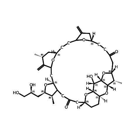 C=C1C[C@@H]2CCC(=O)C[C@H]3O[C@H]4[C@@H](O)[C@H]5O[C@H](CC[C@@H]5O[C@H]4[C@H]3C)CC(=O)CC3[C@H](CC4O[C@@H](CCC1O2)C[C@@H](C)C4=C)O[C@H](C[C@H](O)CO)[C@@H]3C